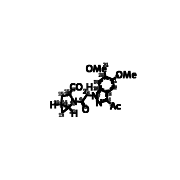 COc1cc2c(C(C)=O)nn(CC(=O)N3[C@@H]4C[C@@H]4C[C@H]3C(=O)O)c2cc1OC